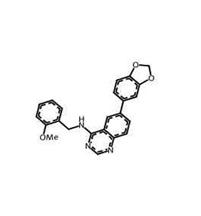 COc1ccccc1CNc1ncnc2ccc(-c3ccc4c(c3)OCO4)cc12